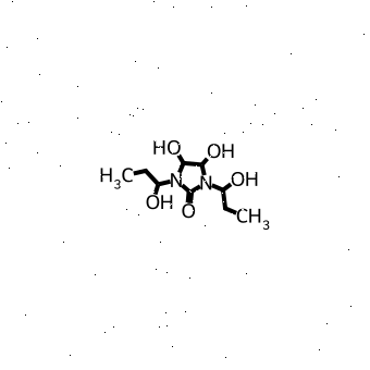 CCC(O)N1C(=O)N(C(O)CC)C(O)C1O